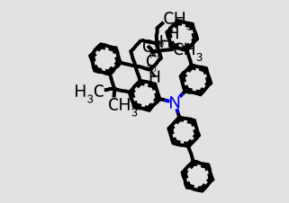 CC[C@@H]1C[C@H]2C[C@H](C)CC1CC21c2ccccc2C(C)(C)c2ccc(N(c3ccc(-c4ccccc4)cc3)c3cccc(-c4ccccc4)c3)cc21